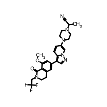 COc1cc(-c2cnn3cc(N4CCN(C(C)C#N)CC4)ccc23)cc2c1C(=O)N(CC(F)(F)F)CC2